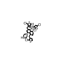 O=S(=O)(Nc1cc(Cl)sc1Cl)c1c(Cc2ccsc2Cl)cc(N2CCNCC2)c2c(Cc3ccsc3Cl)cccc12